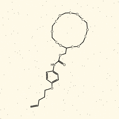 C=CCCCOc1ccc(NC(=O)OCC2COCCOCCOCCOCCOCCO2)cc1